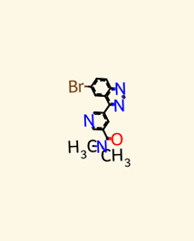 CN(C)C(=O)c1cncc(-c2ncnc3ccc(Br)cc23)c1